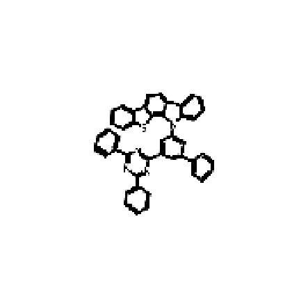 c1cccc(-c2nc(-c3ccccc3)nc(-c3cc(-c4ccccc4)cc(-n4c5ccccc5c5ccc6c7ccccc7sc6c54)c3)n2)c#1